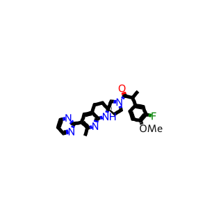 COc1ccc(C(C)C(=O)N2CC[C@@]3(CCc4cc(-c5ncccn5)c(C)nc4N3)C2)cc1F